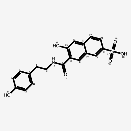 O=C(NCCc1ccc(O)cc1)c1cc2cc(S(=O)(=O)O)ccc2cc1O